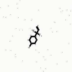 C=CC(F)(F)C1CCC(I)CC1